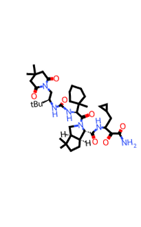 CC1(C)CC(=O)N(C[C@@H](NC(=O)N[C@H](C(=O)N2C[C@H]3[C@H](CCC3(C)C)[C@H]2C(=O)NC(CC2CC2)C(=O)C(N)=O)C2(C)CCCCC2)C(C)(C)C)C(=O)C1